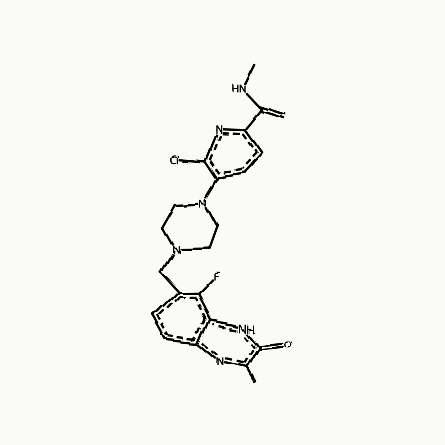 C=C(NC)c1ccc(N2CCN(Cc3ccc4nc(C)c(=O)[nH]c4c3F)CC2)c(Cl)n1